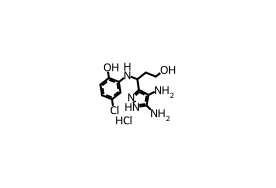 Cl.Nc1[nH]nc(C(CCO)Nc2cc(Cl)ccc2O)c1N